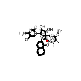 CC(C)OC(=O)[C@H](C)NP(=O)(OC[C@@]1(C(F)F)O[C@@H](n2cc(Cl)c(N)nc2=O)[C@@H](O)[C@@H]1O)Oc1cccc2ccccc12